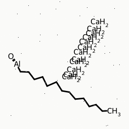 CCCCCCCCCCCCC[CH2][Al]=[O].[CaH2].[CaH2].[CaH2].[CaH2].[CaH2].[CaH2].[CaH2].[CaH2].[CaH2].[CaH2].[CaH2].[CaH2]